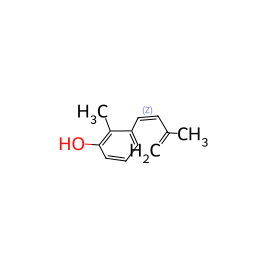 C=C(C)/C=C\c1cccc(O)c1C